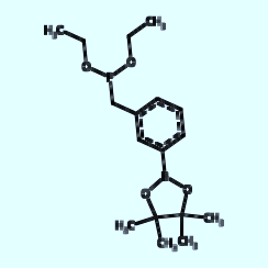 CCOP(Cc1cccc(B2OC(C)(C)C(C)(C)O2)c1)OCC